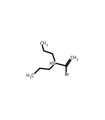 C=C(Br)[SiH](CCC)CCC